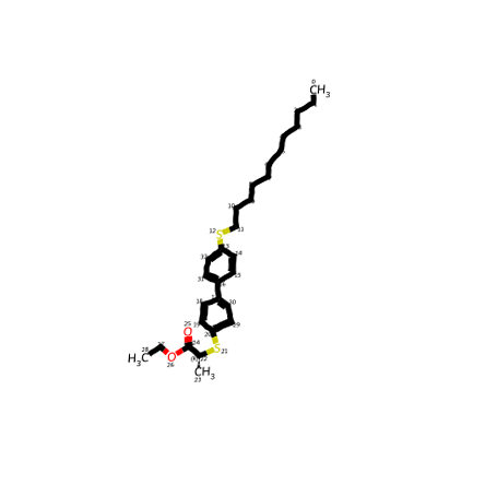 CCCCCCCCCCCCSc1ccc(-c2ccc(S[C@H](C)C(=O)OCC)cc2)cc1